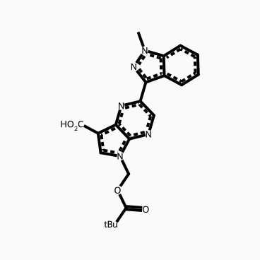 Cn1nc(-c2cnc3c(n2)c(C(=O)O)cn3COC(=O)C(C)(C)C)c2ccccc21